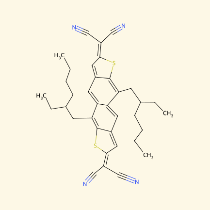 CCCCC(CC)Cc1c2cc3cc(=C(C#N)C#N)sc3c(CC(CC)CCCC)c2cc2cc(=C(C#N)C#N)sc12